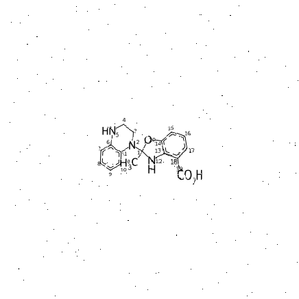 CC1(N2CCNc3ccccc32)Nc2c(cccc2C(=O)O)O1